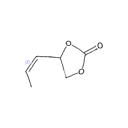 C/C=C\C1COC(=O)O1